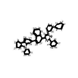 c1ccc(-c2cccc(-c3cc(-c4ccc(-c5ccc6c7ccccc7n(-c7ccccc7)c6c5)c5ccccc45)nc(-c4ccccc4)n3)c2)cc1